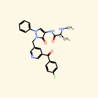 CN[C@@H](C)C(=O)Nc1cn(-c2ccccc2)n(Cc2cncc(C(=O)c3ccc(F)cc3)c2)c1=O